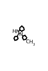 Cc1ccc(N2c3ccccc3NC2c2ccccc2)cc1